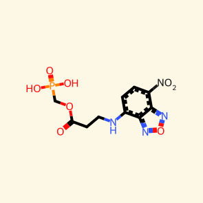 O=C(CCNc1ccc([N+](=O)[O-])c2nonc12)OCP(=O)(O)O